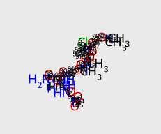 CC(C)[C@H](NCCNC(=O)CCCN1C(=O)C=CC1=O)C(=O)N[C@@H](CCCNC(N)=O)C(=O)Nc1ccc(COC(=O)N(C)CCN(C)C(=O)Oc2cc3c(c4ccccc24)[C@H](CCl)CN3C(=O)c2cc3cc(OCCN(C)C)ccc3o2)cc1